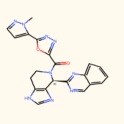 Cn1nccc1-c1nnc(C(=O)N2CCc3[nH]cnc3[C@@H]2c2ncc3ccccc3n2)o1